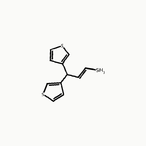 [SiH3]C=CC(c1ccsc1)c1ccsc1